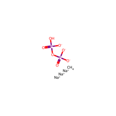 C.O=P([O-])([O-])OP(=O)([O-])O.[Na+].[Na+].[Na+]